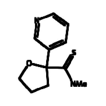 CNC(=S)C1(c2cccnc2)CCCO1